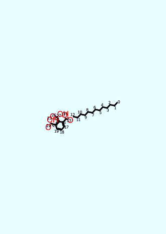 CCCCCCCCCCCCCOC(=O)c1cccc(C(=O)O)c1C(=O)O